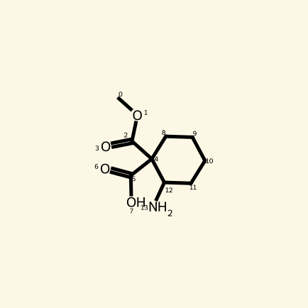 COC(=O)C1(C(=O)O)CCCCC1N